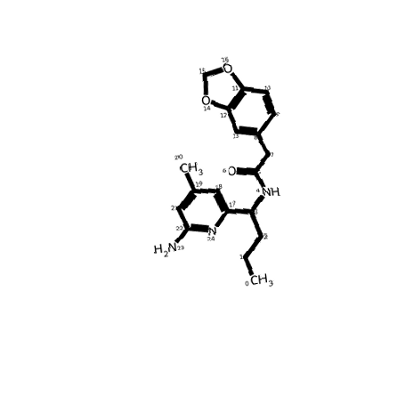 CCCC(NC(=O)Cc1ccc2c(c1)OCO2)c1cc(C)cc(N)n1